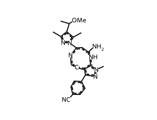 COC(C)c1c(C)nn(-c2cc(N)[nH]c3c(ccn2)c(-c2ccc(C#N)cc2)nn3C)c1C